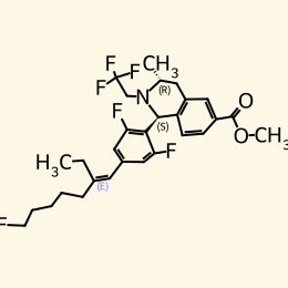 CC/C(=C\c1cc(F)c([C@@H]2c3ccc(C(=O)OC)cc3C[C@@H](C)N2CC(F)(F)F)c(F)c1)CCCCCF